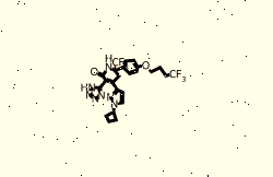 O=C1N[C@@](c2ccc(OCCCC(F)(F)F)cc2)(C(F)(F)F)CC(c2ccn(C3CCC3)n2)=C1c1nnn[nH]1